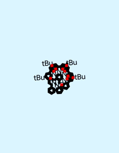 CC(C)(C)c1ccc2c(c1)c1ccccc1n2-c1c(-c2cccc(-c3ccccc3)n2)c(-c2nc3ccccc3s2)c(-n2c3ccccc3c3cc(C(C)(C)C)ccc32)c(-n2c3ccccc3c3cc(C(C)(C)C)ccc32)c1-n1c2ccccc2c2cc(C(C)(C)C)ccc21